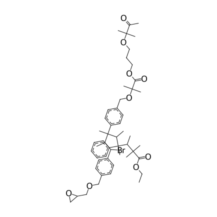 CCOC(=O)C(C)(C)C(C)C(C)(c1ccccc1)C(C)C(C)(c1ccc(COC(C)(C)C(=O)OCCCOC(C)(C)C(C)=O)cc1)C(C)C(Br)c1ccc(COCC2CO2)cc1